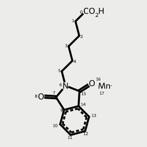 O=C(O)CCCCCN1C(=O)c2ccccc2C1=O.[Mn]